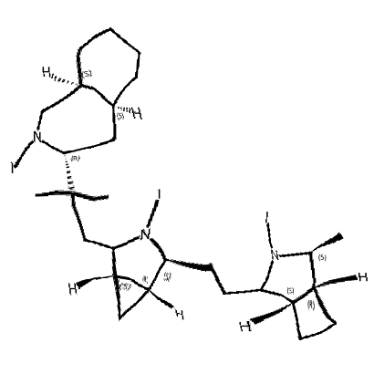 C[C@H]1[C@@H]2CC[C@@H]2C(CC[C@H]2[C@@H]3C[C@@H]3C(CC(C)(C)[C@H]3C[C@@H]4CCCC[C@@H]4CN3I)N2I)N1I